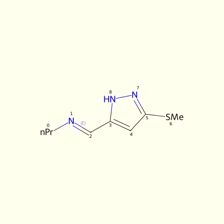 CCC/N=C/c1cc(SC)n[nH]1